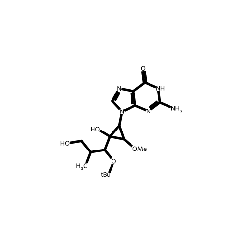 COC1C(n2cnc3c(=O)[nH]c(N)nc32)C1(O)C(OC(C)(C)C)C(C)CO